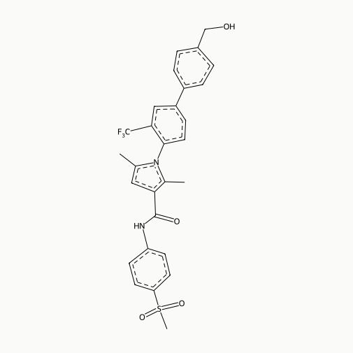 Cc1cc(C(=O)Nc2ccc(S(C)(=O)=O)cc2)c(C)n1-c1ccc(-c2ccc(CO)cc2)cc1C(F)(F)F